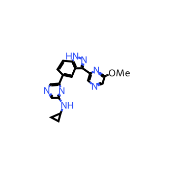 COc1cncc(-c2n[nH]c3ccc(-c4cncc(NC5CC5)n4)cc23)n1